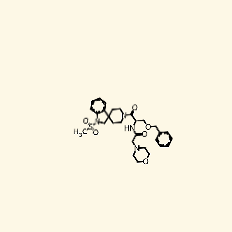 CS(=O)(=O)N1CC2(CCN(C(=O)[C@@H](COCc3ccccc3)NC(=O)CN3CCOCC3)CC2)c2ccccc21